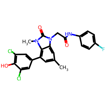 Cc1cc(-c2cc(Cl)c(O)c(Cl)c2)c2c(c1)n(CC(=O)Nc1ccc(F)cc1)c(=O)n2C